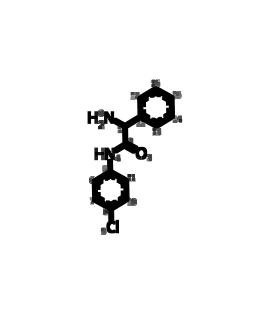 NC(C(=O)Nc1ccc(Cl)cc1)c1ccccc1